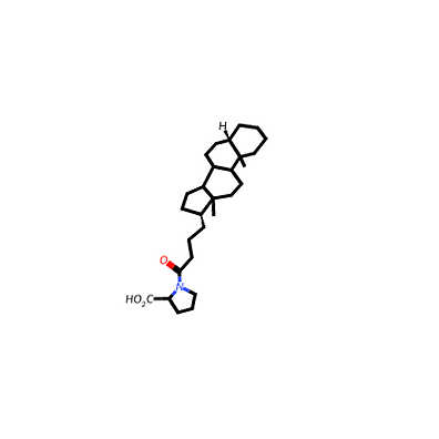 CC12CCCC[C@H]1CCC1C2CCC2(C)C1CC[C@@H]2CCCC(=O)N1CCCC1C(=O)O